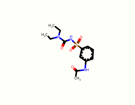 CCN(CC)C(=O)NS(=O)(=O)c1cccc(NC(C)=O)c1